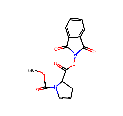 CC(C)(C)OC(=O)N1CCCC1C(=O)ON1C(=O)c2ccccc2C1=O